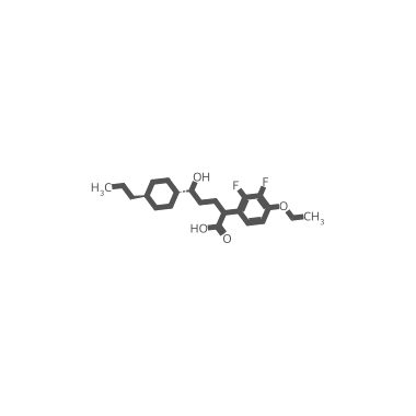 CCC[C@H]1CC[C@H](C(O)CCC(C(=O)O)c2ccc(OCC)c(F)c2F)CC1